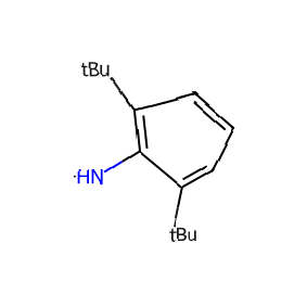 CC(C)(C)c1cccc(C(C)(C)C)c1[NH]